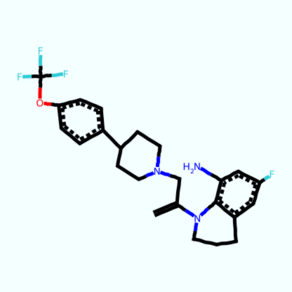 C=C(CN1CCC(c2ccc(OC(F)(F)F)cc2)CC1)N1CCCc2cc(F)cc(N)c21